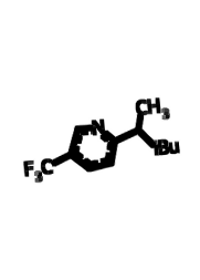 CCC(C)C(C)c1ccc(C(F)(F)F)cn1